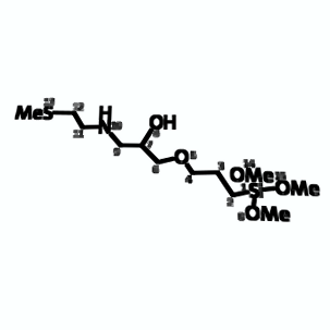 CO[Si](CCCOCC(O)CNCCSC)(OC)OC